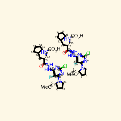 COC[C@H]1CCCN1c1nc(Cl)nc(NNC(=O)[C@@H](CNC(=O)O)CC2CCCC2)c1F.COC[C@H]1CCCN1c1nc(Cl)nc(NNC(=O)[C@@H](CNC(=O)O)CC2CCCC2)c1F